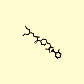 CCCN(CCC)CCNC(=O)C1CCN(Cc2nc(-c3ccccc3C)oc2C)CC1